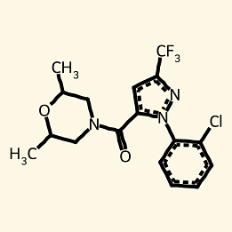 CC1CN(C(=O)c2cc(C(F)(F)F)nn2-c2ccccc2Cl)CC(C)O1